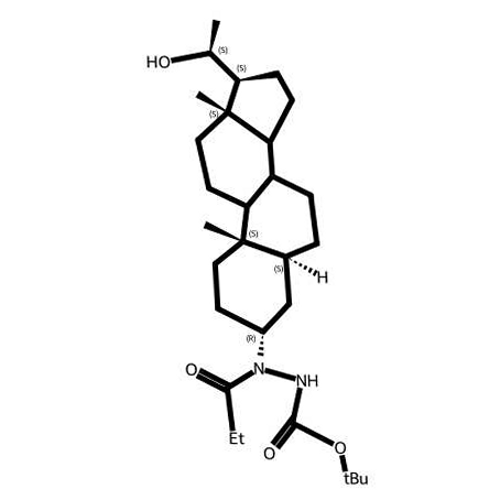 CCC(=O)N(NC(=O)OC(C)(C)C)[C@@H]1CC[C@]2(C)C3CC[C@@]4(C)C(CC[C@@H]4[C@H](C)O)C3CC[C@H]2C1